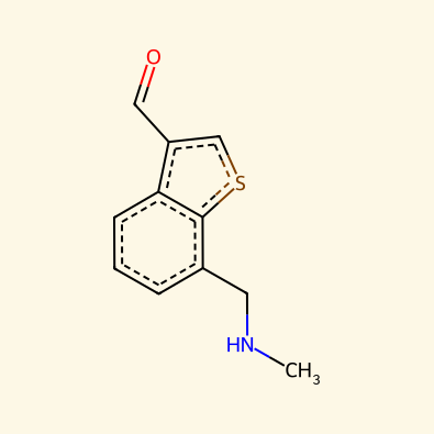 CNCc1cccc2c(C=O)csc12